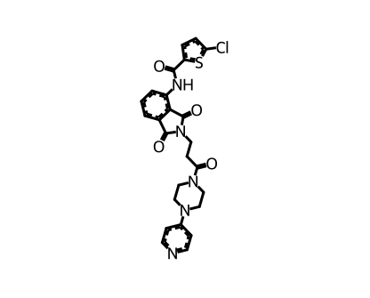 O=C(Nc1cccc2c1C(=O)N(CCC(=O)N1CCN(c3ccncc3)CC1)C2=O)c1ccc(Cl)s1